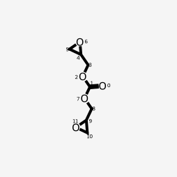 O=C(OCC1CO1)OCC1CO1